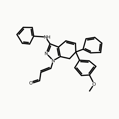 COc1ccc(C2(c3ccccc3)C=Cc3c(Nc4ccccc4)nn(C=CC=O)c3C2)cc1